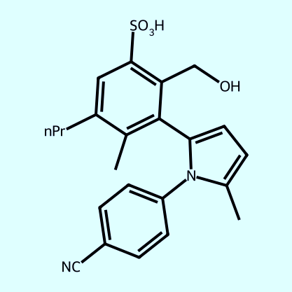 CCCc1cc(S(=O)(=O)O)c(CO)c(-c2ccc(C)n2-c2ccc(C#N)cc2)c1C